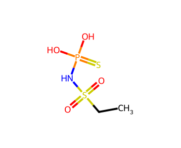 CCS(=O)(=O)NP(O)(O)=S